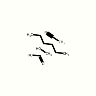 CC#N.CCCCCC.CO.O=CO